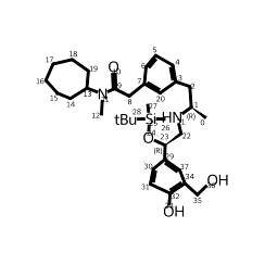 C[C@H](Cc1cccc(CC(=O)N(C)C2CCCCCC2)c1)NC[C@H](O[Si](C)(C)C(C)(C)C)c1ccc(O)c(CO)c1